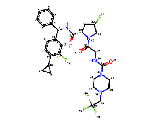 O=C(N[C@@H](c1ccccc1)c1ccc(C2CC2)c(F)c1)[C@@H]1C[C@@H](F)CN1C(=O)CNC(=O)N1CCN(CC(F)(F)F)CC1